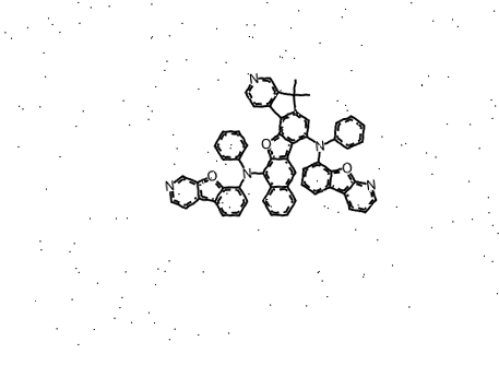 CC1(C)c2cnccc2-c2c1cc(N(c1ccccc1)c1cccc3c1oc1ncccc13)c1c2oc2c(N(c3ccccc3)c3cccc4c3oc3cnccc34)c3ccccc3cc21